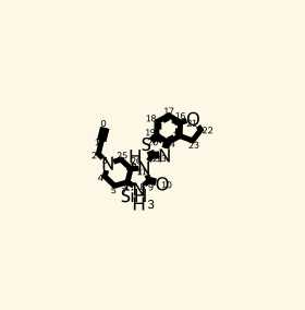 C#CCN1CC[C@]2([SiH3])NC(=O)N(c3nc4c5c(ccc4s3)OCC5)[C@@H]2C1